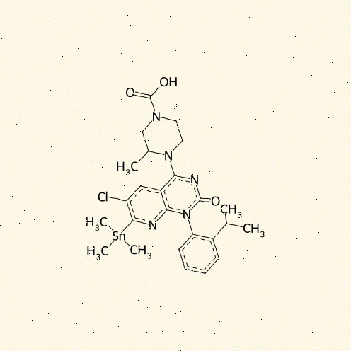 CC(C)c1ccccc1-n1c(=O)nc(N2CCN(C(=O)O)CC2C)c2cc(Cl)[c]([Sn]([CH3])([CH3])[CH3])nc21